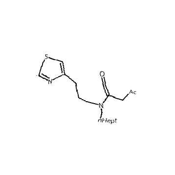 CCCCCCCN(CCc1cs[c]n1)C(=O)CC(C)=O